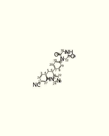 N#Cc1ccc(CC(c2ccc(N3CC(=O)NCC3=O)cc2)c2cnc[nH]2)cc1